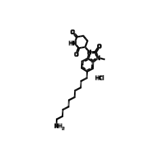 Cl.Cn1c(=O)n(C2CCC(=O)NC2=O)c2ccc(CCCCCCCCCCN)cc21